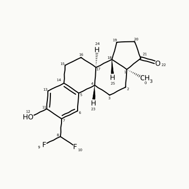 C[C@]12CC[C@@H]3c4cc(C(F)F)c(O)cc4CC[C@H]3[C@@H]1CCC2=O